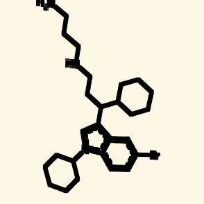 NCCCNCCC(c1cn(C2CCCCC2)c2ccc(Br)cc12)C1CCCCC1